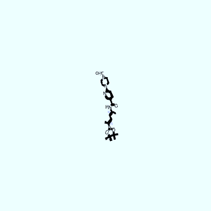 C/C(=C\C=C(/C)NC(=O)c1ccc(N2CCN(C=O)CC2)nc1)B1OC(C)(C)C(C)(C)O1